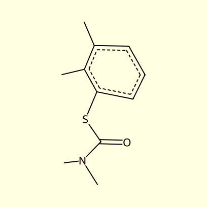 Cc1cccc(SC(=O)N(C)C)c1C